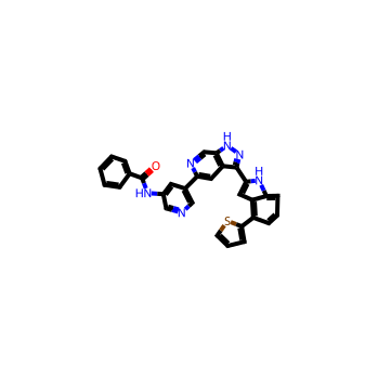 O=C(Nc1cncc(-c2cc3c(-c4cc5c(-c6cccs6)cccc5[nH]4)n[nH]c3cn2)c1)c1ccccc1